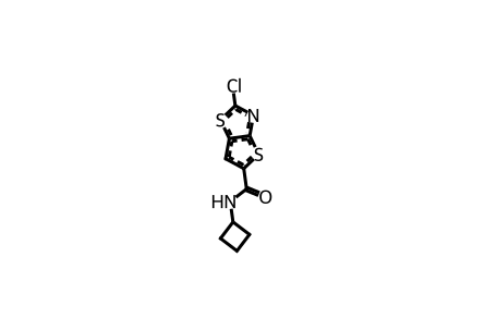 O=C(NC1CCC1)c1cc2sc(Cl)nc2s1